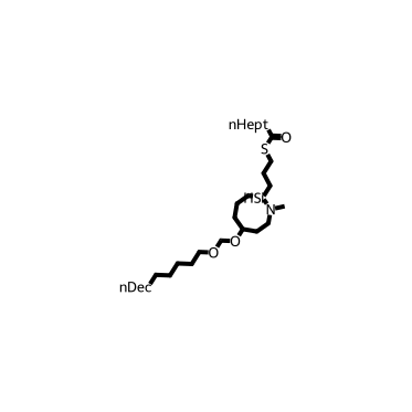 CCCCCCCCCCCCCCCOCOC1CCC[SiH](CCCSC(=O)CCCCCCC)N(C)CC1